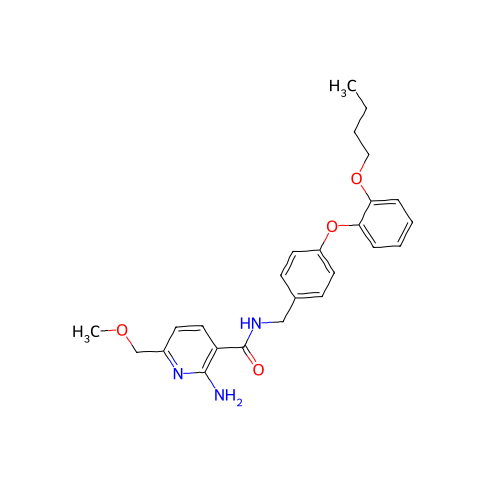 CCCCOc1ccccc1Oc1ccc(CNC(=O)c2ccc(COC)nc2N)cc1